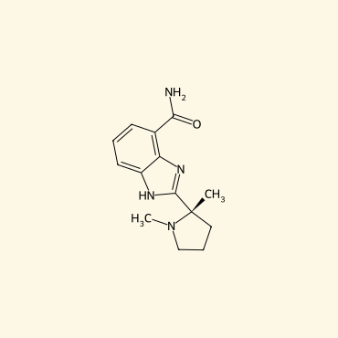 CN1CCC[C@@]1(C)c1nc2c(C(N)=O)cccc2[nH]1